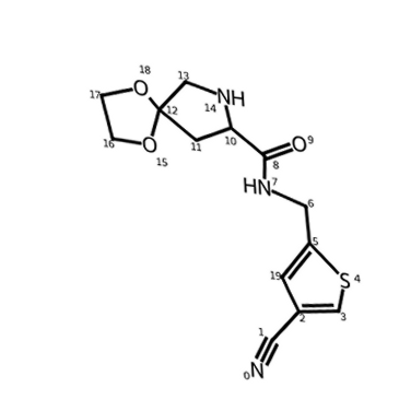 N#Cc1csc(CNC(=O)C2CC3(CN2)OCCO3)c1